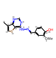 COc1cc(C=NNc2ncnc3c(C)csc23)ccc1O